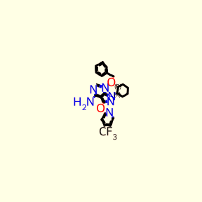 Nc1ncnc2c1c(Oc1cc(C(F)(F)F)ccn1)nn2[C@@H]1CCCC[C@H]1OCc1ccccc1